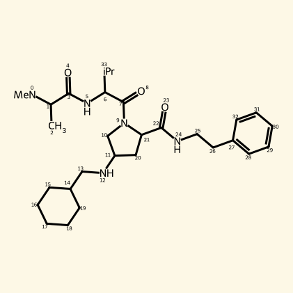 CNC(C)C(=O)NC(C(=O)N1CC(NCC2CCCCC2)CC1C(=O)NCCc1ccccc1)C(C)C